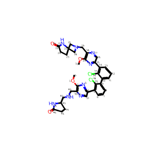 COc1nc(-c2cccc(-c3cccc(-c4cnc(CN5CC6(CCC(=O)N6)C5)c(OC)n4)c3Cl)c2Cl)cnc1CNCC1CCC(=O)N1